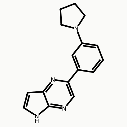 c1cc(-c2cnc3[nH]ccc3n2)cc(N2CCCC2)c1